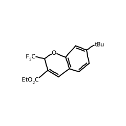 CCOC(=O)C1=Cc2ccc(C(C)(C)C)cc2OC1C(F)(F)F